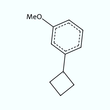 COc1cccc([C]2CCC2)c1